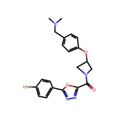 CN(C)Cc1ccc(OC2CN(C(=O)c3nnc(-c4ccc(S)cc4)o3)C2)cc1